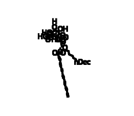 C#CC#CC#CC#CC#CC#CC#CC(=O)OC[C@H](COP(=O)(O)OC1C(O)[C@@H](OP(=O)(O)O)C(O)[C@@H](O)[C@H]1O)OC(=O)CCCCCCCCCCCCCCC